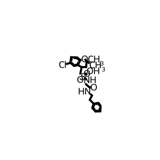 CC1(C)Oc2ccc(Cl)cc2C(CS(=O)(=O)NCC(=O)NCCc2ccccc2)C1O